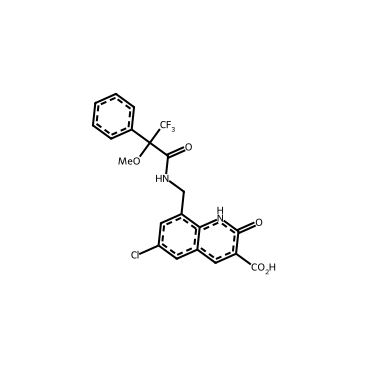 COC(C(=O)NCc1cc(Cl)cc2cc(C(=O)O)c(=O)[nH]c12)(c1ccccc1)C(F)(F)F